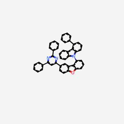 c1ccc(-c2cc(-c3ccc4oc5cccc(-n6c7ccccc7c7c(-c8ccccc8)cccc76)c5c4c3)nc(-c3ccccc3)n2)cc1